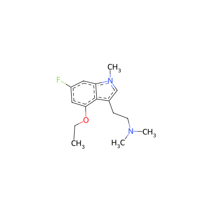 CCOc1cc(F)cc2c1c(CCN(C)C)cn2C